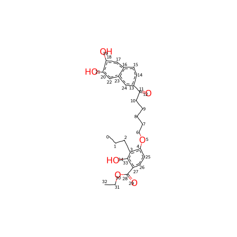 CCCc1c(OCCCCCC(=O)c2ccc3cc(O)c(O)cc3c2)ccc(C(=O)OCC)c1O